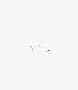 CC(C)(C)[Si](C)(C)O[C@H]1CCC[C@@H](CC(=O)O)C1